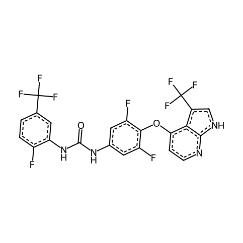 O=C(Nc1cc(F)c(Oc2ccnc3[nH]cc(C(F)(F)F)c23)c(F)c1)Nc1cc(C(F)(F)F)ccc1F